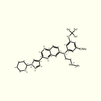 [2H]C([2H])([2H])Oc1cc(OC)cc(N(CCNC(C)C)c2ccc3ncc(-c4cnn(C5CCCCO5)c4)nc3c2)c1